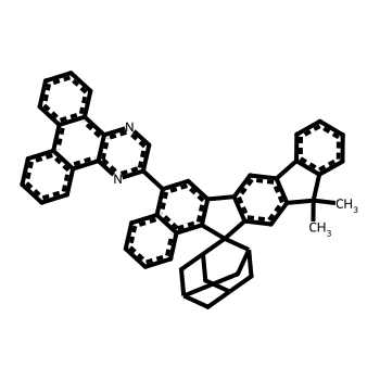 CC1(C)c2ccccc2-c2cc3c(cc21)C1(c2c-3cc(-c3cnc4c5ccccc5c5ccccc5c4n3)c3ccccc23)C2CC3CC(C2)CC1C3